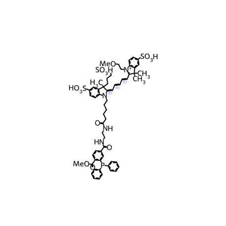 COCC[N+]1=C(/C=C/C=C/C=C2/N(CCCCCC(=O)NCCNC(=O)c3ccc(C(=O)OC)c(P(c4ccccc4)c4ccccc4)c3)c3ccc(S(=O)(=O)O)cc3C2(C)CCCS(=O)(=O)O)C(C)(C)c2cc(S(=O)(=O)O)ccc21